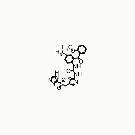 COc1ccccc1C(=O)c1cc(C)ccc1NC(=O)Nc1ncc(CS(=O)(=O)c2nnc[nH]2)s1